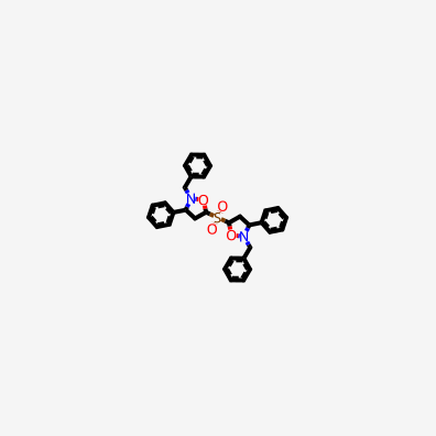 O=S(=O)(C1CC(c2ccccc2)N(Cc2ccccc2)O1)C1CC(c2ccccc2)N(Cc2ccccc2)O1